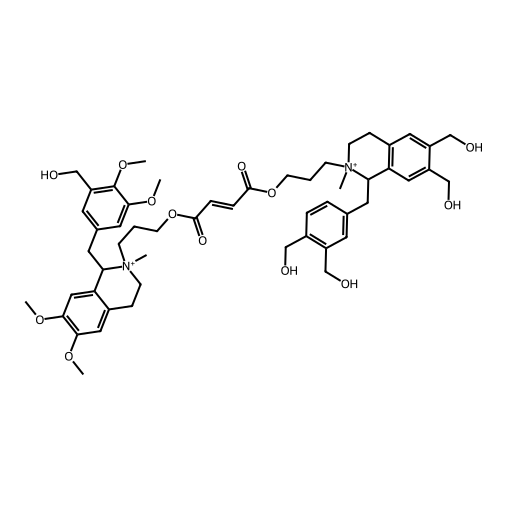 COc1cc2c(cc1OC)C(Cc1cc(CO)c(OC)c(OC)c1)[N+](C)(CCCOC(=O)/C=C/C(=O)OCCC[N+]1(C)CCc3cc(CO)c(CO)cc3C1Cc1ccc(CO)c(CO)c1)CC2